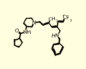 CC(=C\CN1CCCC(NC(=O)C2CCCC2)C1)/C=C(\C=C\C(F)(F)F)CNCc1ccccc1